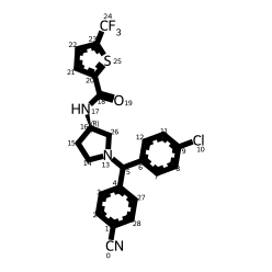 N#Cc1ccc(C(c2ccc(Cl)cc2)N2CC[C@@H](NC(=O)c3ccc(C(F)(F)F)s3)C2)cc1